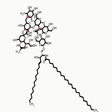 CCCCCCCCCCCCC/C=C/[C@@H](O)[C@H](CO[C@@H]1OC(CO)[C@@H](O[C@@H]2OC(CO)[C@H](O)[C@H](O[C@@H]3OC(CO)[C@@H](O[C@H]4OC(C)[C@@H](O)C(O)[C@@H]4O)[C@H](O[C@@H]4OC(CO)[C@H](O)[C@H](O[C@]5(C(=O)O)CC(O)[C@@H](NC(C)=O)C([C@H](O)[C@H](O)CO)O5)C4O)C3NC(C)=O)C2O)[C@H](O)C1O)NC(=O)CCCCCCCCCCCCCCCCCCCCCCCCC